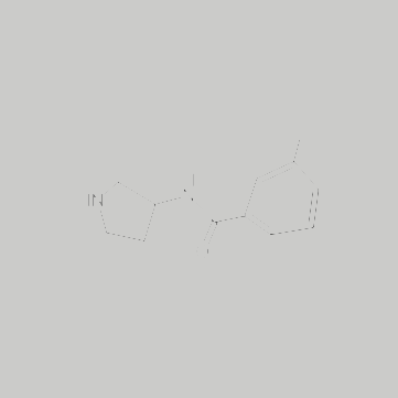 Cc1cccc(C(=O)NC2CCNC2)c1